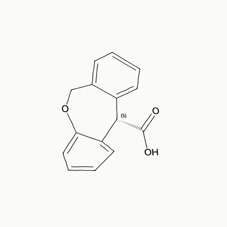 O=C(O)[C@H]1c2ccccc2COc2ccccc21